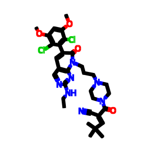 CCNc1ncc2cc(-c3c(Cl)c(OC)cc(OC)c3Cl)c(=O)n(CCCN3CCN(C(=O)C(C#N)=CC(C)(C)C)CC3)c2n1